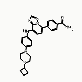 NC(=O)c1ccc(-c2ccc(Nc3ccc(N4CCN(C5CCC5)CC4)cc3)c3ncnn23)cc1